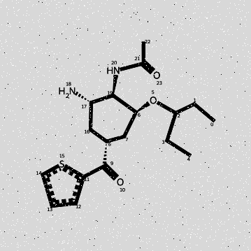 CCC(CC)O[C@H]1C[C@H](C(=O)c2cccs2)C[C@H](N)[C@H]1NC(C)=O